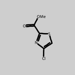 COC(=O)c1nc(Cl)cs1